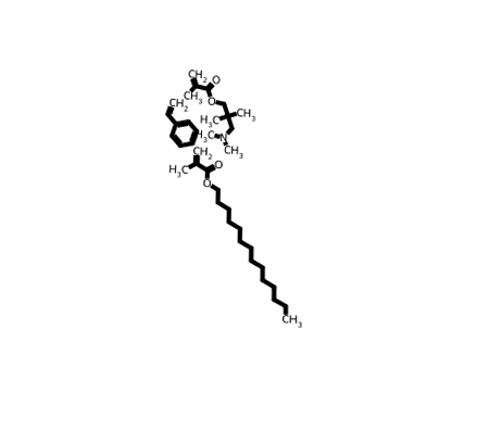 C=C(C)C(=O)OCC(C)(C)CN(C)C.C=C(C)C(=O)OCCCCCCCCCCCCCC.C=Cc1ccccc1